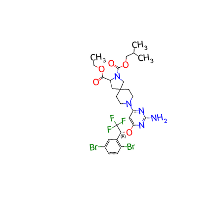 CCOC(=O)C1CC2(CCN(c3cc(O[C@H](c4cc(Br)ccc4Br)C(F)(F)F)nc(N)n3)CC2)CN1C(=O)OCC(C)C